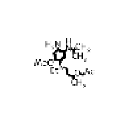 C=C(C)Nc1cc(N(CC)CCC(=C)OCC(C)=O)c(OC)cc1N